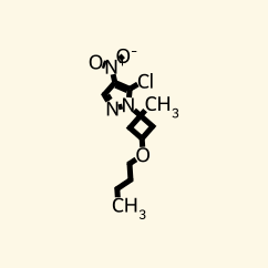 CCCCOC1CC(C)(n2ncc([N+](=O)[O-])c2Cl)C1